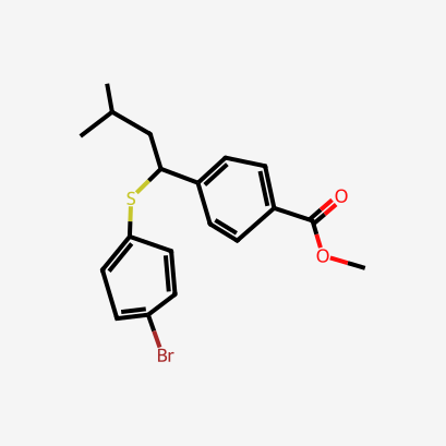 COC(=O)c1ccc(C(CC(C)C)Sc2ccc(Br)cc2)cc1